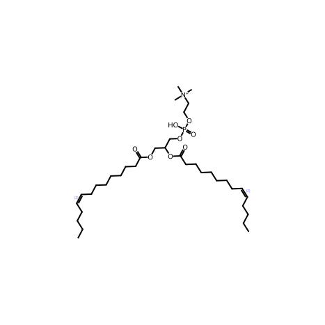 CCCC/C=C\CCCCCCCC(=O)OCC(COP(=O)(O)OCC[N+](C)(C)C)OC(=O)CCCCCCC/C=C\CCCC